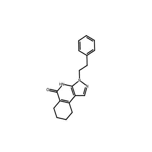 O=c1[nH]c2c(cnn2CCc2ccccc2)c2c1CCCC2